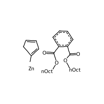 CC1=CC=CC1.CCCCCCCCOC(=O)c1ccccc1C(=O)OCCCCCCCC.[Zn]